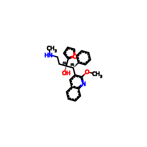 CNCC[C@@](O)(c1ccco1)[C@H](c1ccccc1)c1cc2ccccc2nc1OC